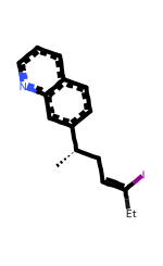 CC/C(I)=C/C[C@H](C)c1ccc2cccnc2c1